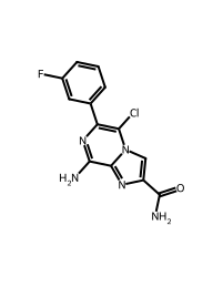 NC(=O)c1cn2c(Cl)c(-c3cccc(F)c3)nc(N)c2n1